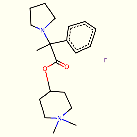 CC(C(=O)OC1CC[N+](C)(C)CC1)(c1ccccc1)N1CCCC1.[I-]